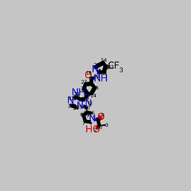 C[C@@H](O)C(=O)N1CCC[C@@H](c2nc(-c3ccc(C(=O)Nc4cc(C(F)(F)F)ccn4)cc3)c3c(N)nccn23)C1